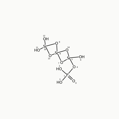 O=P(O)(O)O[Si]1(O)O[Si]2(O[Si](O)(O)O2)O1